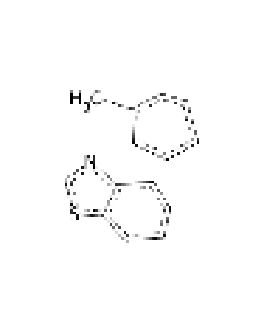 Cc1ccccc1.c1ccc2scnc2c1